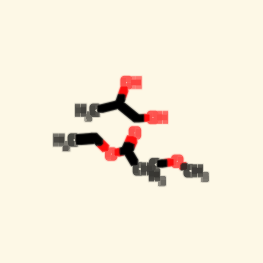 C=COC(C)=O.CC(O)CO.COC